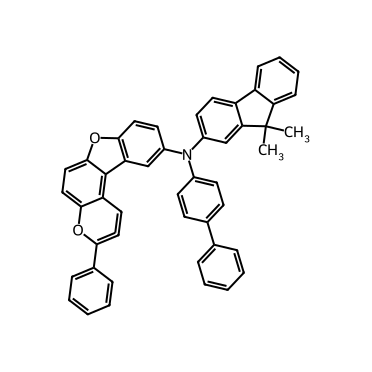 CC1(C)c2ccccc2-c2ccc(N(c3ccc(-c4ccccc4)cc3)c3ccc4oc5ccc6c(c5c4c3)C=C=C(c3ccccc3)O6)cc21